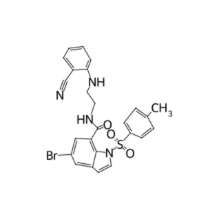 Cc1ccc(S(=O)(=O)n2ccc3cc(Br)cc(C(=O)NCCNc4ccccc4C#N)c32)cc1